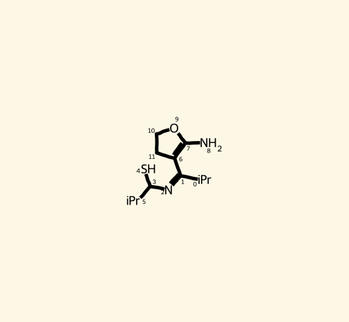 CC(C)/C(=N/C(S)C(C)C)C1=C(N)OCC1